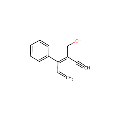 C#CC(CO)=C(C=C)c1ccccc1